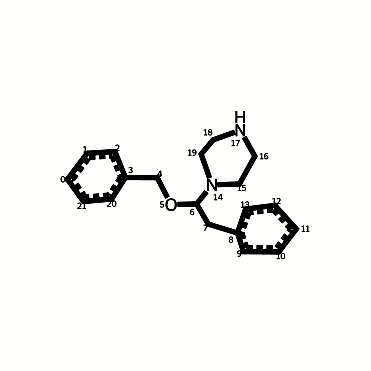 c1ccc(COC(Cc2ccccc2)N2CCNCC2)cc1